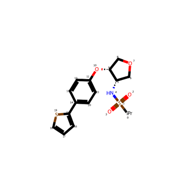 CC(C)S(=O)(=O)N[C@H]1COC[C@H]1Oc1ccc(-c2cccs2)cc1